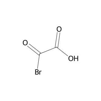 O=C(O)C(=O)Br